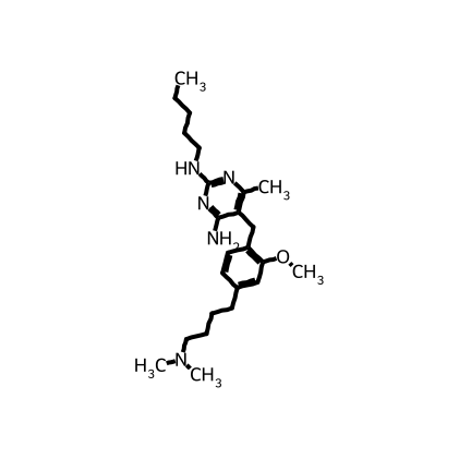 CCCCCNc1nc(C)c(Cc2ccc(CCCCN(C)C)cc2OC)c(N)n1